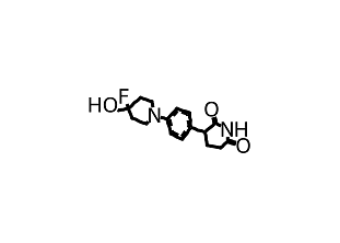 O=C1CCC(c2ccc(N3CCC(F)(CO)CC3)cc2)C(=O)N1